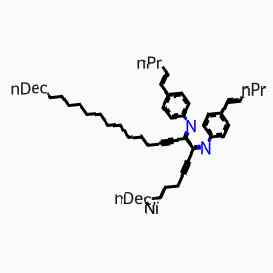 CCCC=Cc1ccc(N=C(C#CCCCCCCCCCCCCC)C(C#CCCCCCCCCCCCCCCCCCCCCC)=Nc2ccc(C=CCCC)cc2)cc1.[Ni]